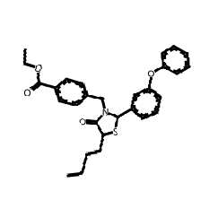 CCCCC1SC(c2cccc(Oc3ccccc3)c2)N(Cc2ccc(C(=O)OCC)cc2)C1=O